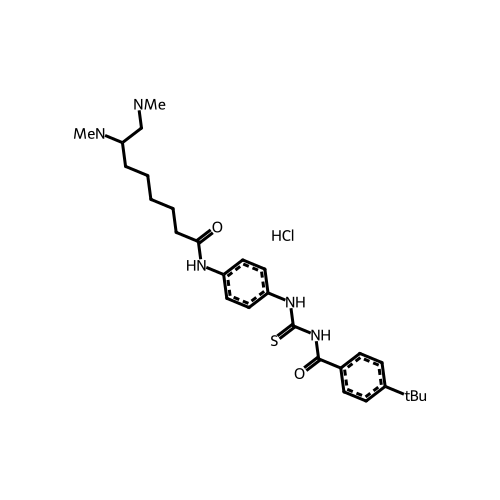 CNCC(CCCCCC(=O)Nc1ccc(NC(=S)NC(=O)c2ccc(C(C)(C)C)cc2)cc1)NC.Cl